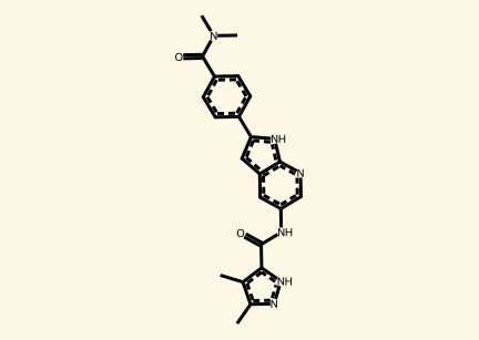 Cc1n[nH]c(C(=O)Nc2cnc3[nH]c(-c4ccc(C(=O)N(C)C)cc4)cc3c2)c1C